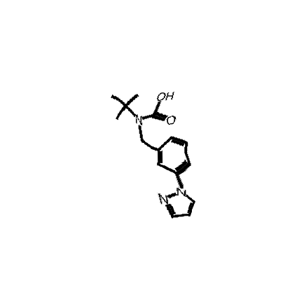 CC(C)(C)N(Cc1cccc(-n2cccn2)c1)C(=O)O